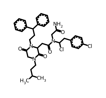 CC(C)CCN1CC(=O)N(CCC(c2ccccc2)c2ccccc2)C(CC(=O)N(CC(N)=O)C(Cl)Cc2ccc(Cl)cc2)C1=O